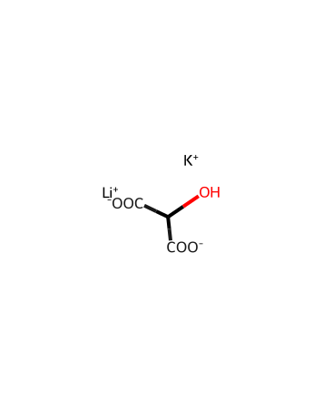 O=C([O-])C(O)C(=O)[O-].[K+].[Li+]